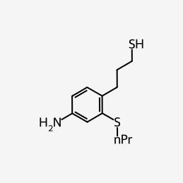 CCCSc1cc(N)ccc1CCCS